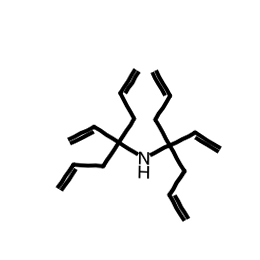 C=CCC(C=C)(CC=C)NC(C=C)(CC=C)CC=C